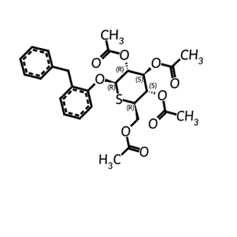 CC(=O)OC[C@H]1S[C@@H](Oc2ccccc2Cc2ccccc2)[C@H](OC(C)=O)[C@@H](OC(C)=O)[C@@H]1OC(C)=O